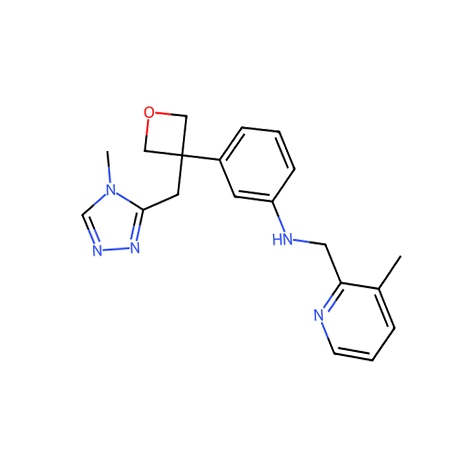 Cc1cccnc1CNc1cccc(C2(Cc3nncn3C)COC2)c1